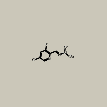 CC(C)(C)[S+]([O-])N=Cc1ncc(Cl)cc1F